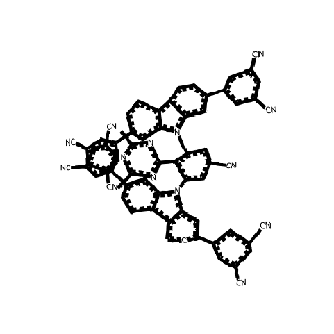 Cc1nc(C)nc(-c2c(-n3c4cc(-c5cc(C#N)cc(C#N)c5)ccc4c4ccc(-c5cc(C#N)cc(C#N)c5)cc43)cc(C#N)cc2-n2c3cc(-c4cc(C#N)cc(C#N)c4)ccc3c3ccc(-c4cc(C#N)cc(C#N)c4)cc32)n1